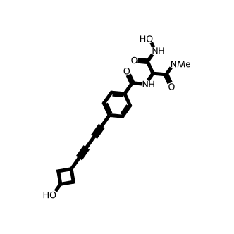 CNC(=O)C(NC(=O)c1ccc(C#CC#CC2CC(O)C2)cc1)C(=O)NO